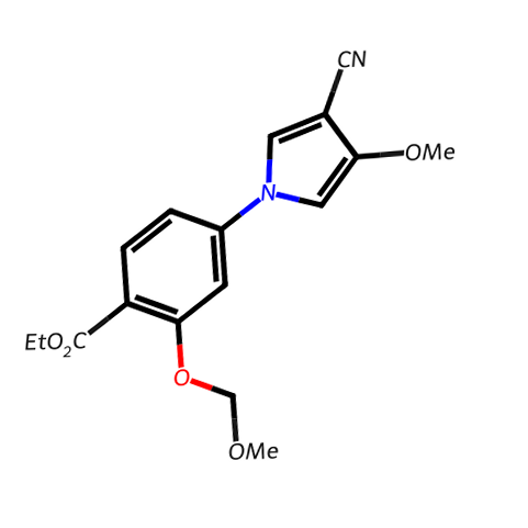 CCOC(=O)c1ccc(-n2cc(C#N)c(OC)c2)cc1OCOC